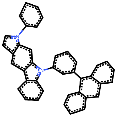 c1ccc(-n2ccc3cc4c5ccccc5n(-c5cccc(-c6c7ccccc7cc7ccccc67)c5)c4cc32)cc1